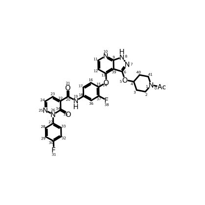 CC(=O)N1CCC(Oc2n[nH]c3nccc(Oc4ccc(NC(=O)c5ccnn(-c6ccc(F)cc6)c5=O)cc4F)c23)CC1